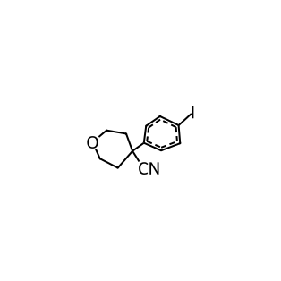 N#CC1(c2ccc(I)cc2)CCOCC1